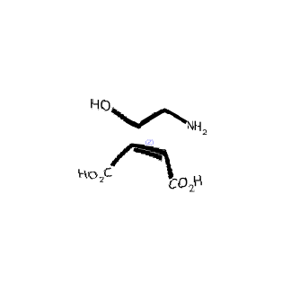 NCCO.O=C(O)/C=C\C(=O)O